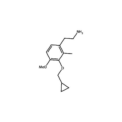 COc1ccc(CCN)c(C)c1OCC1CC1